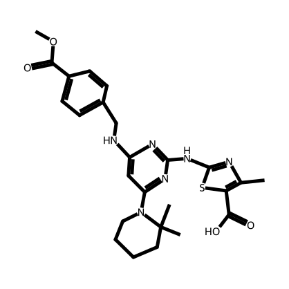 COC(=O)c1ccc(CNc2cc(N3CCCCC3(C)C)nc(Nc3nc(C)c(C(=O)O)s3)n2)cc1